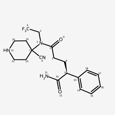 N#CC1(N(CC(F)(F)F)C(=O)[CH]C[C@H](C(N)=O)c2ccccc2)CCNCC1